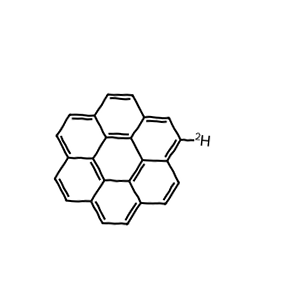 [2H]c1cc2ccc3ccc4ccc5ccc6ccc1c1c6c5c4c3c21